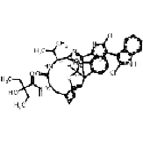 CCC(O)(CC)C(=O)N[C@H]1Cc2ccc3c(c2)C2(c4ccccc4N[C@H]2O3)c2oc(nc2-c2nc(Cl)c(-c3c(Cl)[nH]c4ccccc34)o2)[C@H](C(C)C)NC1=O